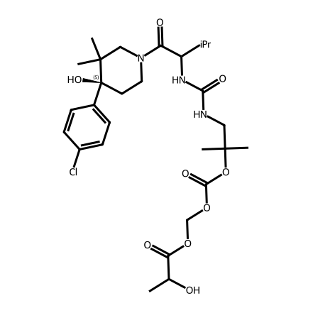 CC(O)C(=O)OCOC(=O)OC(C)(C)CNC(=O)NC(C(=O)N1CC[C@](O)(c2ccc(Cl)cc2)C(C)(C)C1)C(C)C